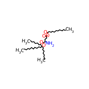 CCCCCCCCCCCC(=O)OC(=O)CCC(N)C(=O)OC(CCCCCCCC)(CCCCCCCC)CCCCCCCCCCC